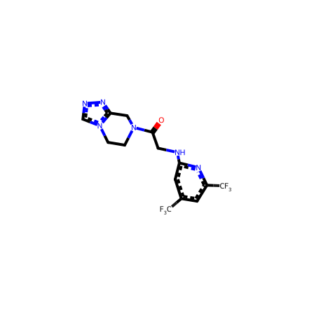 O=C(CNc1cc(C(F)(F)F)cc(C(F)(F)F)n1)N1CCn2cnnc2C1